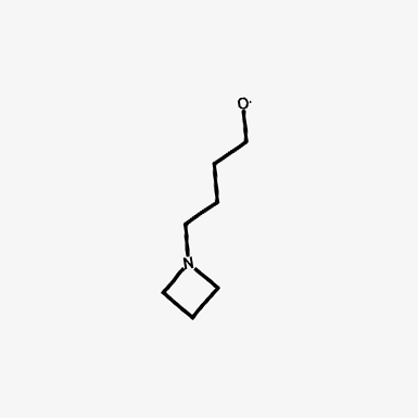 [O]CCCCN1CCC1